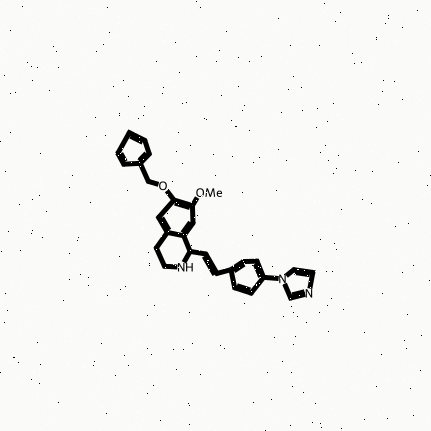 COc1cc2c(cc1OCc1ccccc1)CCNC2C=Cc1ccc(-n2ccnc2)cc1